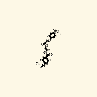 O=C(COc1ccc([N+](=O)[O-])cc1)OCCOC(=O)c1ccc([N+](=O)[O-])cc1